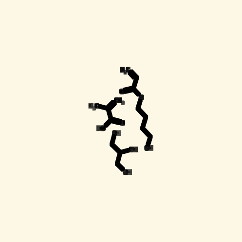 C=C(C)C(=O)O.C=CC(=O)OCCCCO.OCC(O)CO